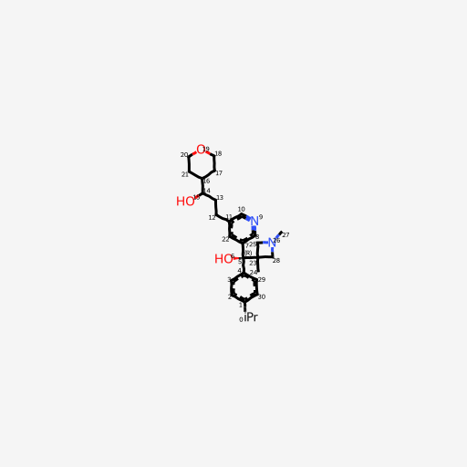 CC(C)c1ccc([C@](O)(c2cncc(CCC(O)C3CCOCC3)c2)C2(C)CN(C)C2)cc1